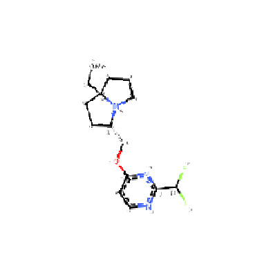 COC[C@@]12CCCN1[C@H](COc1ccnc(C(F)F)n1)CC2